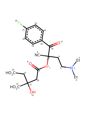 CCN(CC)CCC(C#N)(OC(=O)CC(O)(CC(=O)O)C(=O)O)C(=O)c1ccc(F)cc1